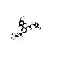 COc1cc(F)c(C2CN(C(=O)OC(C)(C)C)CCC2NC(=O)Nc2ncc(Cl)s2)c(F)c1